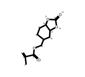 C=C(C)C(=O)OCC1CCC2OC(=O)OC2C1